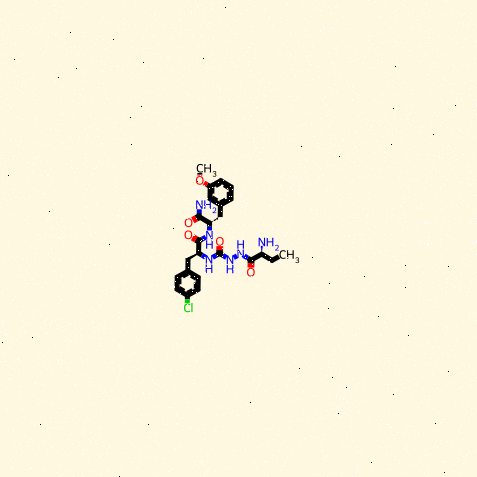 CC[C@@H](N)C(=O)NNC(=O)N[C@@H](Cc1ccc(Cl)cc1)C(=O)N[C@@H](Cc1cccc(OC)c1)C(N)=O